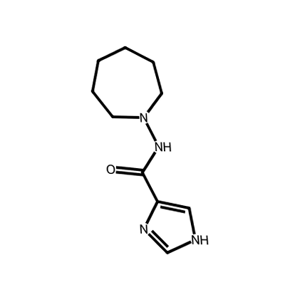 O=C(NN1CCCCCC1)c1c[nH]cn1